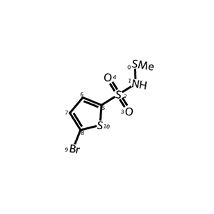 CSNS(=O)(=O)c1ccc(Br)s1